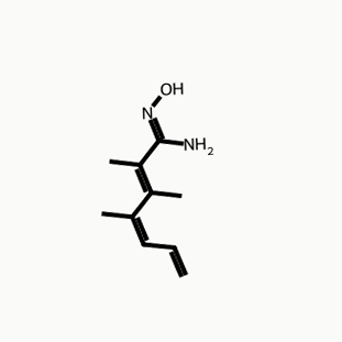 C=C\C=C(C)/C(C)=C(C)/C(N)=N/O